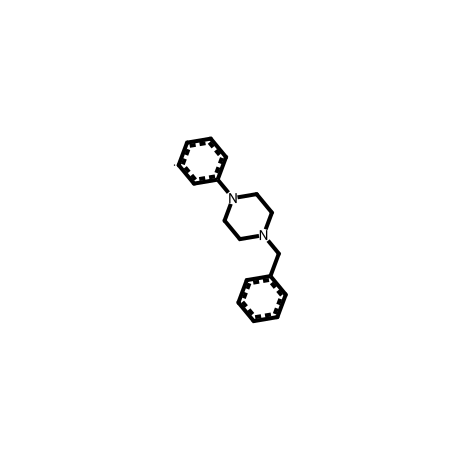 [c]1cccc(N2CCN(Cc3ccccc3)CC2)c1